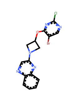 Clc1ncc(Br)c(OC2CN(c3cnc4ccccc4n3)C2)n1